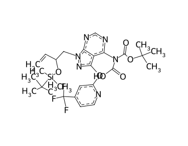 C=CC(Cn1nc(Oc2cc(C(F)(F)F)ccn2)c2c(N(C(=O)O)C(=O)OC(C)(C)C)ncnc21)O[Si](C)(C)C(C)(C)C